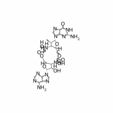 C[C@@H]1[C@@H]2NP(=O)(O)OC[C@H]3O[C@@H](n4cnc5c(N)ncnc54)[C@H](O)[C@@H]3NP(=O)(O)OC[C@H]2O[C@H]1n1cnc2c(=O)[nH]c(N)nc21